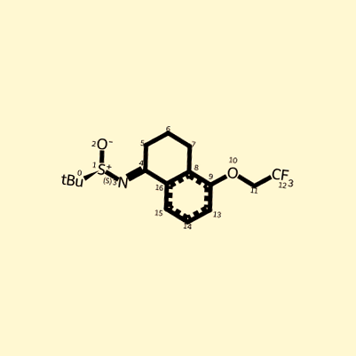 CC(C)(C)[S@@+]([O-])N=C1CCCc2c(OCC(F)(F)F)cccc21